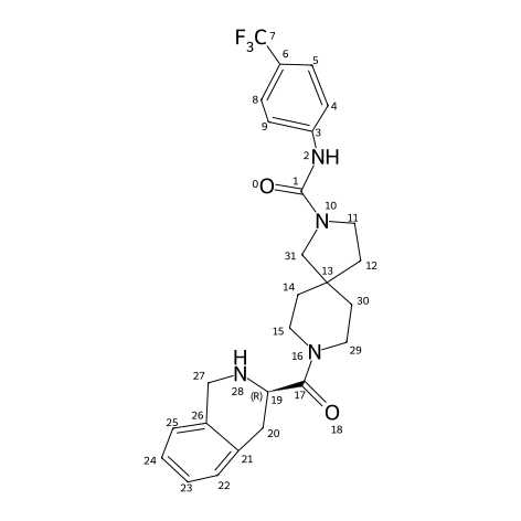 O=C(Nc1ccc(C(F)(F)F)cc1)N1CCC2(CCN(C(=O)[C@H]3Cc4ccccc4CN3)CC2)C1